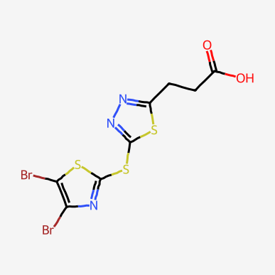 O=C(O)CCc1nnc(Sc2nc(Br)c(Br)s2)s1